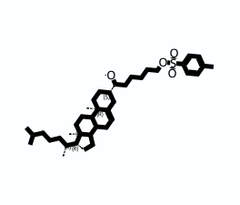 Cc1ccc(S(=O)(=O)OCCCCCC([O])[C@H]2CC[C@@]3(C)C(=CCC4C3CC[C@@]3(C)C4CC[C@@H]3[C@H](C)CCCC(C)C)C2)cc1